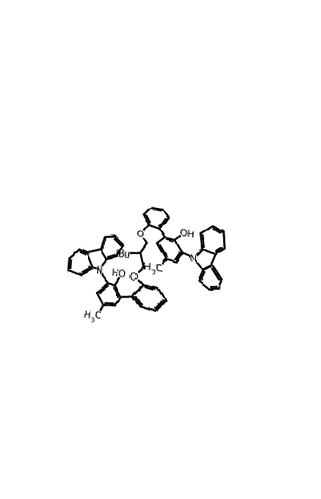 Cc1cc(-c2ccccc2OCC(COc2ccccc2-c2cc(C)cc(-n3c4ccccc4c4ccccc43)c2O)C(C)(C)C)c(O)c(-n2c3ccccc3c3ccccc32)c1